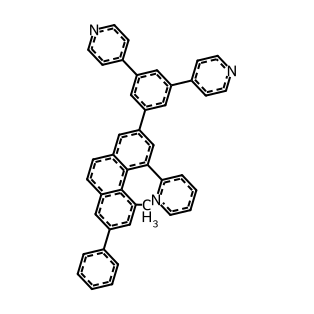 Cc1cc(-c2ccccc2)cc2ccc3cc(-c4cc(-c5ccncc5)cc(-c5ccncc5)c4)cc(-c4ccccn4)c3c12